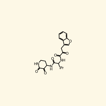 CC(C)C(NC(=O)C(=O)Cc1coc2ccccc12)C(=O)NC1CCNC(=O)C1=O